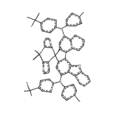 Cc1ccc(N(c2ccc(C(C)(C)C)cc2)c2cc3c(c4ccccc24)-c2c(cc(N(c4ccc(C)cc4)c4ccc(C(C)(C)C)cc4)c4c2oc2ccccc24)C32c3ccccc3C(C)(C)c3ccccc32)cc1